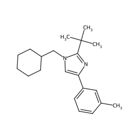 Cc1cccc(-c2cn(CC3CCCCC3)c(C(C)(C)C)n2)c1